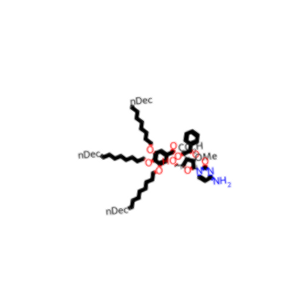 CCCCCCCCCCCCCCCCCCOc1cc(C(=O)OC(C(=O)O)(C(=O)c2ccccc2)[C@@H]2[C@@H](OC)[C@H](n3ccc(N)nc3=O)O[C@@H]2CO)cc(OCCCCCCCCCCCCCCCCCC)c1OCCCCCCCCCCCCCCCCCC